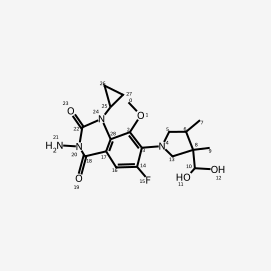 COc1c(N2CC(C)C(C)(C(O)O)C2)c(F)cc2c(=O)n(N)c(=O)n(C3CC3)c12